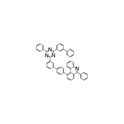 c1ccc(-c2cccc(-c3nc(-c4ccccc4)nc(-c4cccc(-c5ccc(-c6cccc7c(-c8ccccc8)nc8ccccc8c67)cc5)c4)n3)c2)cc1